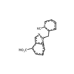 N#Cc1ccccc1Cn1ncc2c(C(=O)O)cccc21